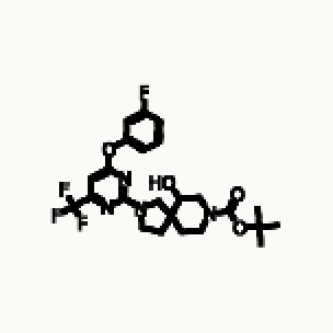 CC(C)(C)OC(=O)N1CCC2(CCN(c3nc(Oc4cccc(F)c4)cc(C(F)(F)F)n3)C2)C(O)C1